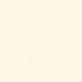 CC(C)(C)OC(=O)N1[C@@H]2CC[C@@H](C2)[C@H]1C(=O)NC(C#N)Cc1cccc(N(COCCS(C)(C)C)C(=O)c2cc(F)ccc2Br)c1